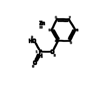 O=[PH](O)Oc1ccccc1.[Zn]